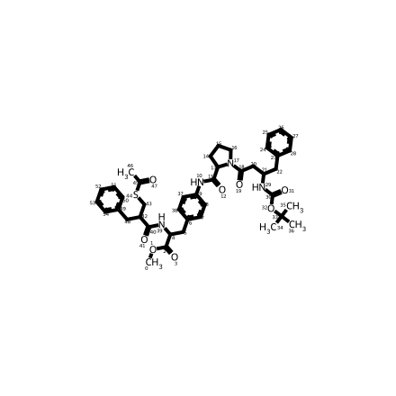 COC(=O)C(Cc1ccc(NC(=O)C2CCCN2C(=O)CC(Cc2ccccc2)NC(=O)OC(C)(C)C)cc1)NC(=O)C(CSC(C)=O)Cc1ccccc1